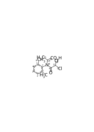 Cc1cccc(C)c1N(C(=O)C(Cl)Cl)C(C)C(=O)O